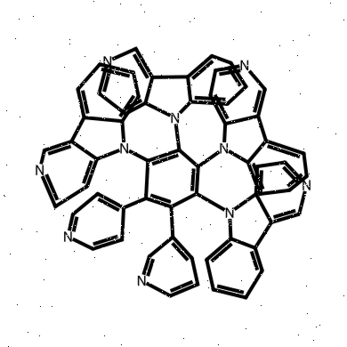 c1cncc(-c2c(-c3ccncc3)c(-n3c4ccccc4c4cnccc43)c(-n3c4ccccc4c4cnccc43)c(-n3c4ccccc4c4cnccc43)c2-n2c3ccccc3c3cnccc32)c1